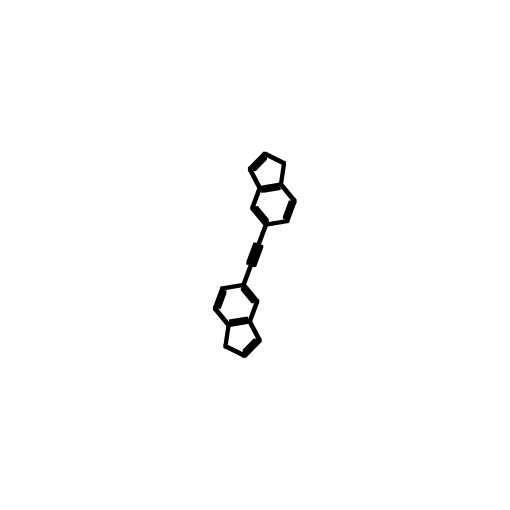 C(#Cc1ccc2c(c1)C=CC2)c1ccc2c(c1)C=CC2